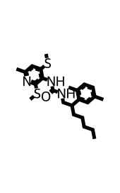 CCCCCC(CNC(=O)Nc1c(SC)cc(C)nc1SC)c1cc(C)ccc1C